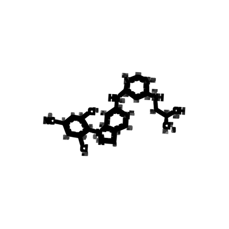 N#Cc1cc(Cl)c(-n2ncc3cnc(Nc4cc(NC[C@@H](O)C(F)(F)F)ncn4)cc32)c(Cl)c1